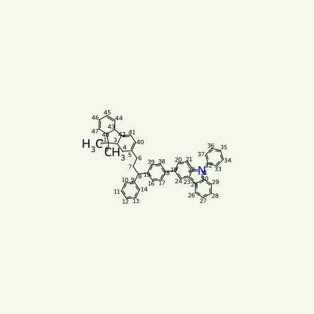 CC1(C)C2CC(CCC(c3ccccc3)c3ccc(-c4ccc5c(c4)c4ccccc4n5-c4ccccc4)cc3)=CC=C2C2C=CC=CC21